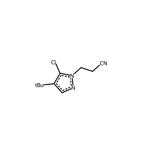 CC(C)(C)c1cnn(CCC#N)c1Cl